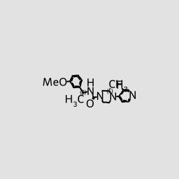 COc1cccc([C@@H](C)NC(=O)N2CCN(c3ccncc3F)[C@@H](C)C2)c1